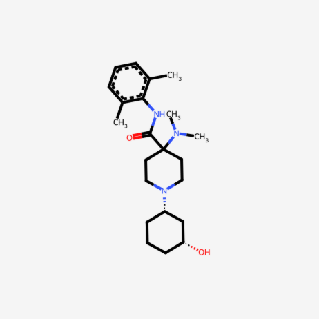 Cc1cccc(C)c1NC(=O)C1(N(C)C)CCN([C@H]2CCC[C@@H](O)C2)CC1